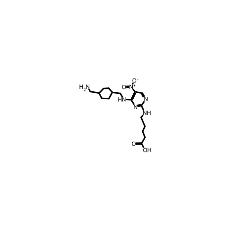 NCC1CCC(CNc2nc(NCCCCC(=O)O)ncc2[N+](=O)[O-])CC1